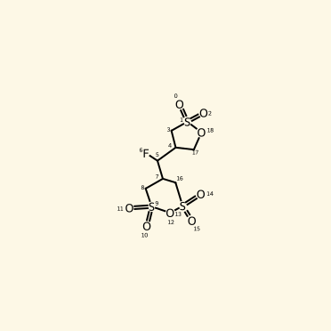 O=S1(=O)CC(C(F)C2CS(=O)(=O)OS(=O)(=O)C2)CO1